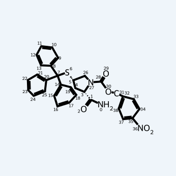 NC(=O)[C@@H]1C[C@H](SC(c2ccccc2)(c2ccccc2)c2ccccc2)CN1C(=O)OCc1ccc([N+](=O)[O-])cc1